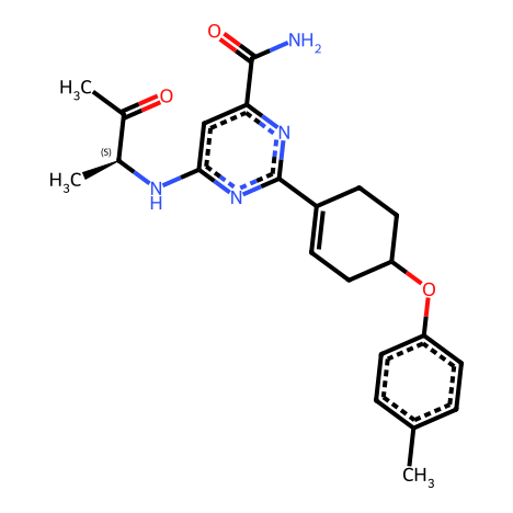 CC(=O)[C@H](C)Nc1cc(C(N)=O)nc(C2=CCC(Oc3ccc(C)cc3)CC2)n1